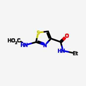 CCNC(=O)c1csc(NC(=O)O)n1